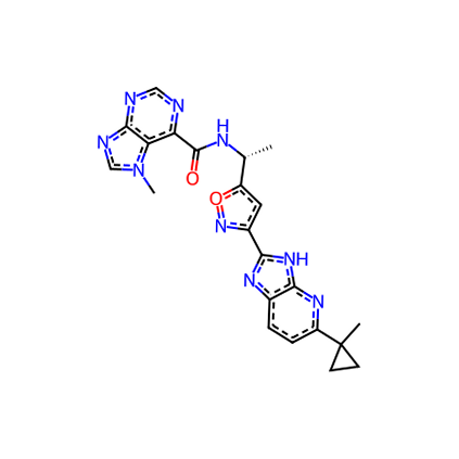 C[C@@H](NC(=O)c1ncnc2ncn(C)c12)c1cc(-c2nc3ccc(C4(C)CC4)nc3[nH]2)no1